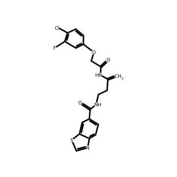 C=C(CCNC(=O)c1ccc2ncsc2c1)NC(=O)COc1ccc(Cl)c(F)c1